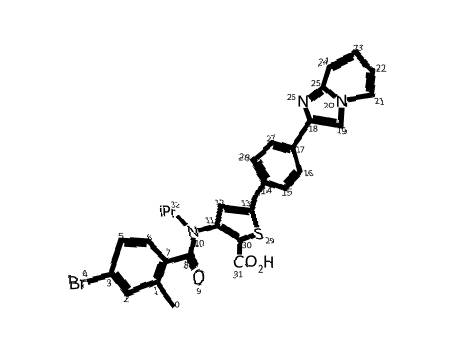 Cc1cc(Br)ccc1C(=O)N(c1cc(-c2ccc(-c3cn4ccccc4n3)cc2)sc1C(=O)O)C(C)C